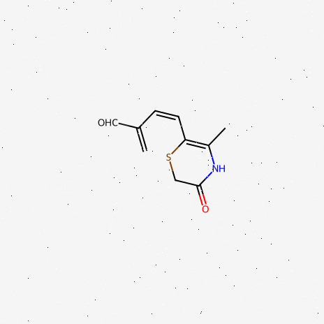 C=C(C=O)/C=C\C1=C(C)NC(=O)CS1